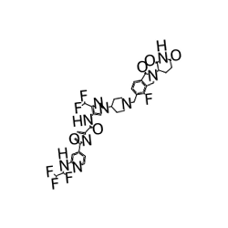 O=C1CCC(N2Cc3c(ccc(CN4CCC(n5cc(NC(=O)c6coc(-c7ccnc(NC(F)C(F)F)c7)n6)c(C(F)F)n5)CC4)c3F)C2=O)C(=O)N1